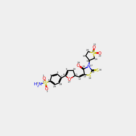 NS(=O)(=O)c1ccc(C2=CCC(/C=C3/SC(=S)N(C4CCS(=O)(=O)C4)C3=O)O2)cc1